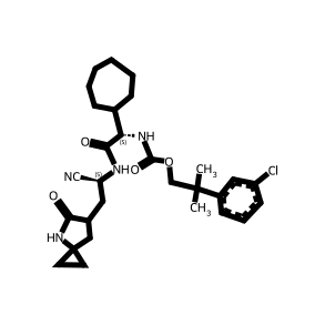 CC(C)(COC(=O)N[C@H](C(=O)N[C@H](C#N)CC1CC2(CC2)NC1=O)C1CCCCCC1)c1cccc(Cl)c1